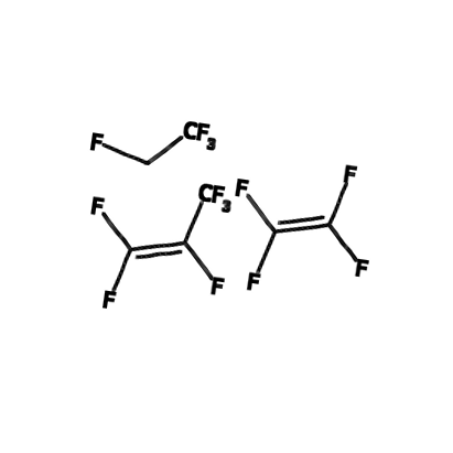 FC(F)=C(F)C(F)(F)F.FC(F)=C(F)F.FCC(F)(F)F